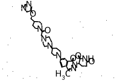 Cc1nn(C2CCC(=O)NC2=O)c(=O)c2cc(N3CCC(N4CCN(CC(=O)N5CCC(COc6cncnc6)CC5)CC4)CC3)ccc12